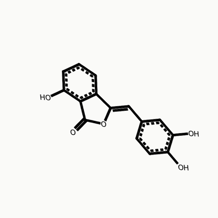 O=C1OC(=Cc2ccc(O)c(O)c2)c2cccc(O)c21